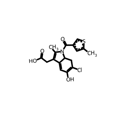 CC1=C(CC(=O)O)C2=CC(O)=C(Cl)CC2N1C(=O)c1csc(C)c1